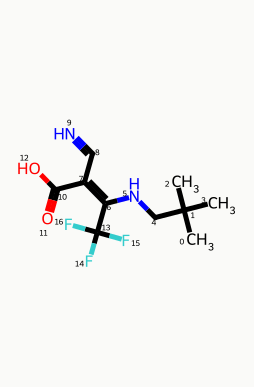 CC(C)(C)CN/C(=C(\C=N)C(=O)O)C(F)(F)F